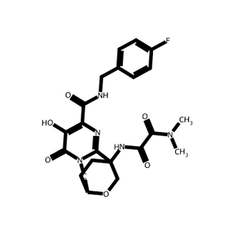 CN(C)C(=O)C(=O)NC12CCC(Cn3c1nc(C(=O)NCc1ccc(F)cc1)c(O)c3=O)OC2